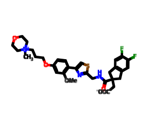 COc1cc(OCCC[N+]2(C)CCOCC2)ccc1-c1csc(CNC(=O)C2(CC(=O)[O-])Cc3cc(F)c(F)cc3C2)n1